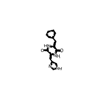 O=c1[nH]/c(=C\c2c[nH]cn2)c(=O)[nH]/c1=C\c1ccccc1